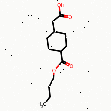 CCCCOC(=O)C1CCC(CC(=O)O)CC1